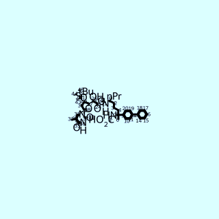 CCCC(CCCC(C)(NC(=O)O)c1ccc(-c2ccccc2)cc1)NOC(=O)C(O)[C@H]1O[C@@H](n2cc(C)c(=O)[nH]c2=O)C[C@@H]1O[Si](C)(C)C(C)(C)C